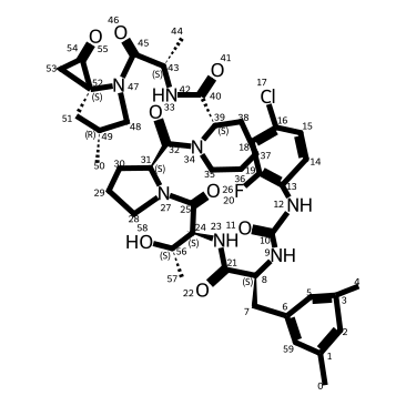 Cc1cc(C)cc(C[C@H](NC(=O)Nc2ccc(Cl)cc2F)C(=O)N[C@H](C(=O)N2CCC[C@H]2C(=O)N2CCCC[C@H]2C(=O)N[C@@H](C)C(=O)N2C[C@H](C)C[C@@]23CC3=O)[C@H](C)O)c1